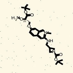 C[n+]1cc2cc(OC[C@H](ON)C(=O)OC(C)(C)C)ccc2cc1NCC1CN(C(=O)OC(C)(C)C)C1